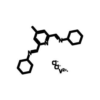 Cc1cc(C=NC2CCCCC2)nc(C=NC2CCCCC2)c1.[Cl-].[Cl-].[V+2]